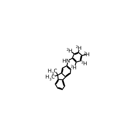 [2H]c1c([2H])c([2H])c(Nc2ccc3c(c2)C(C)(C)c2ccccc2-3)c([2H])c1[2H]